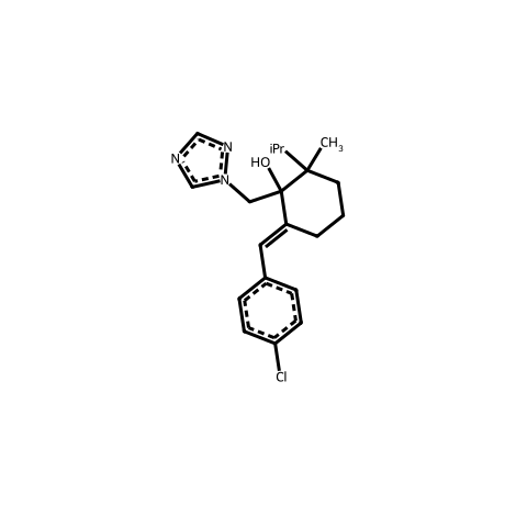 CC(C)C1(C)CCCC(=Cc2ccc(Cl)cc2)C1(O)Cn1cncn1